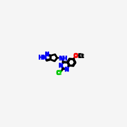 CCOc1ccc2nc(Cl)nc(NC3Cc4c[nH]nc4C3)c2c1